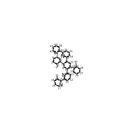 Cc1ccccc1-c1cc(-c2cccc(-c3ncccc3C)n2)c(-c2ccccc2C)cc1-c1cccc(-c2ccccn2)n1